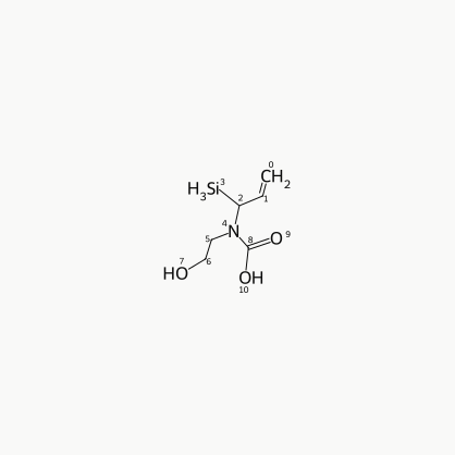 C=CC([SiH3])N(CCO)C(=O)O